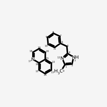 Cc1c[nH]c(Cc2ccccc2)n1.c1ccc2ncccc2c1